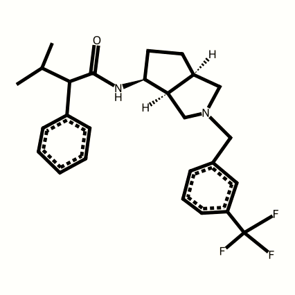 CC(C)C(C(=O)N[C@H]1CC[C@H]2CN(Cc3cccc(C(F)(F)F)c3)C[C@H]21)c1ccccc1